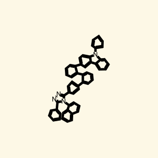 c1ccc(-c2nnc(-c3ccc(-c4ccccc4-c4ccccc4-c4ccc5c(c4)c4ccccc4n5-c4ccccc4)cc3)n2-c2cccc3ccccc23)cc1